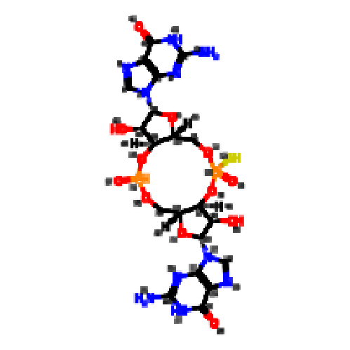 Nc1nc2c(ncn2[C@@H]2O[C@@H]3CO[P@@](=O)(S)O[C@H]4[C@@H](O)[C@H](n5cnc6c(=O)[nH]c(N)nc65)O[C@@H]4CO[PH](=O)O[C@H]3[C@H]2O)c(=O)[nH]1